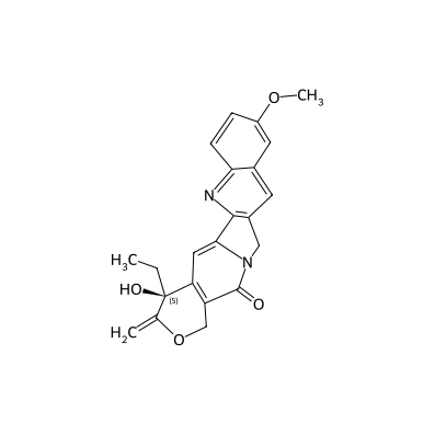 C=C1OCc2c(cc3n(c2=O)Cc2cc4cc(OC)ccc4nc2-3)[C@@]1(O)CC